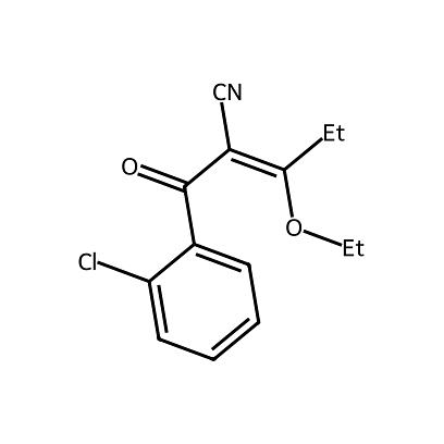 CCOC(CC)=C(C#N)C(=O)c1ccccc1Cl